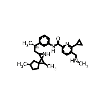 CNCc1ccc(C(=O)Nc2cccc([C@H](C)CC3NC34C(C)C43CCC(C)C3)c2)nc1C1CC1